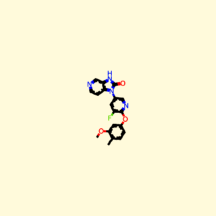 COc1cc(Oc2ncc(-n3c(=O)[nH]c4cnccc43)cc2F)ccc1C